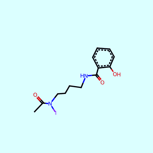 CC(=O)N(I)CCCCNC(=O)c1ccccc1O